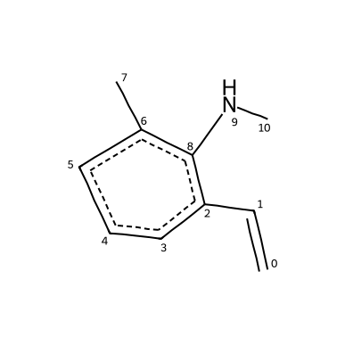 C=Cc1cccc(C)c1NC